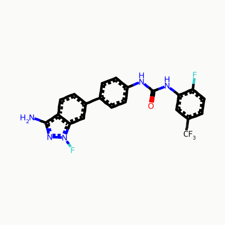 Nc1nn(F)c2cc(-c3ccc(NC(=O)Nc4cc(C(F)(F)F)ccc4F)cc3)ccc12